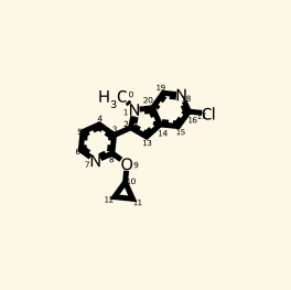 Cn1c(-c2cccnc2OC2CC2)cc2cc(Cl)ncc21